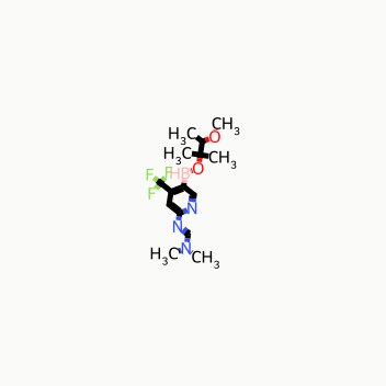 COC(C)C(C)(C)OBc1cnc(/N=C/N(C)C)cc1C(F)(F)F